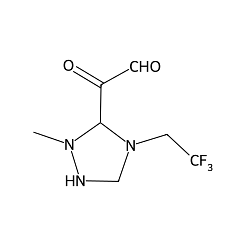 CN1NCN(CC(F)(F)F)C1C(=O)C=O